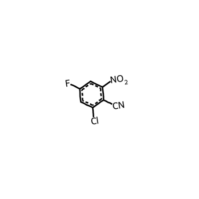 N#Cc1c(Cl)cc(F)cc1[N+](=O)[O-]